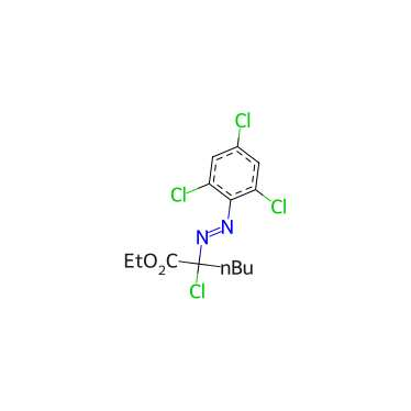 CCCCC(Cl)(N=Nc1c(Cl)cc(Cl)cc1Cl)C(=O)OCC